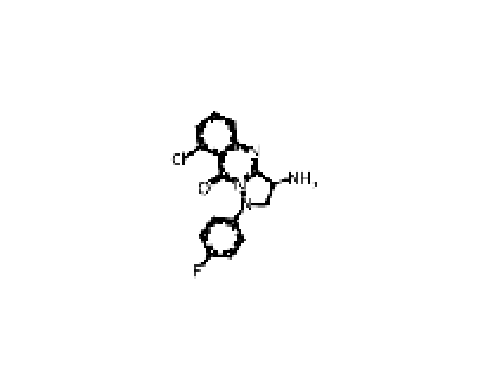 N[C@H]1CN(c2ccc(F)cc2)n2c1nc1cccc(Cl)c1c2=O